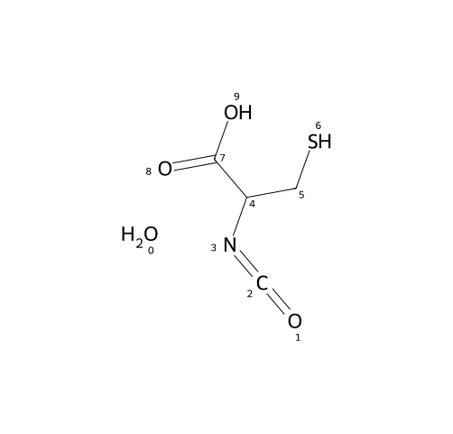 O.O=C=NC(CS)C(=O)O